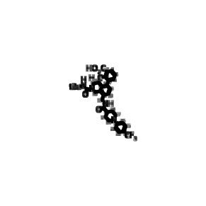 Cc1c(C(=O)O)cccc1-c1ccc(CNC(=O)C2CCN(c3ccc(C(F)(F)F)cc3)CC2)c2c1CCN(C(=O)NC(C)(C)C)C2